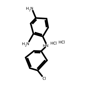 Cl.Cl.Nc1ccc(Nc2cccc(Cl)c2)c(N)c1